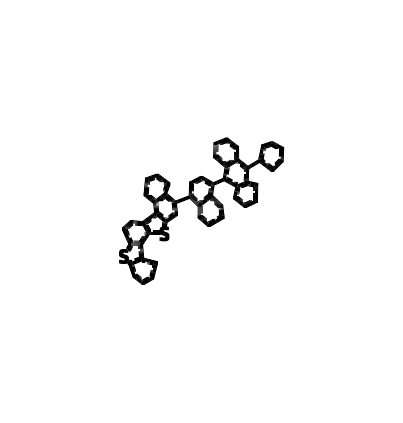 c1ccc(-c2c3ccccc3c(-c3ccc(-c4cc5sc6c(ccc7sc8ccccc8c76)c5c5ccccc45)c4ccccc34)c3ccccc23)cc1